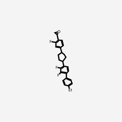 CCc1ccc(-c2ccc(C3CCC(c4ccc(C5CO5)c(F)c4)CC3)c(F)c2F)cc1